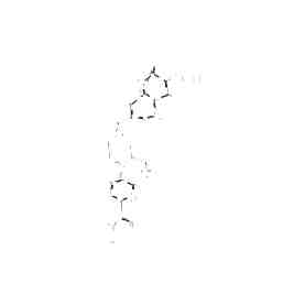 CCc1cc2ncc(CN3CCN4c5ccc(C(=O)NC)nc5NCC4C3)cc2[nH]c1=O